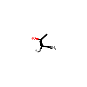 BC(B)=C(C)O